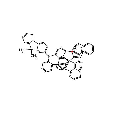 CC1(C)c2ccccc2-c2ccc(N(c3ccc4c(c3)C3(c5ccccc5-4)c4ccccc4-c4cccc5ccc(-c6cccc7ccccc67)c3c45)c3ccccc3-c3ccccc3)cc21